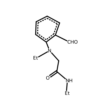 CCNC(=O)CN(CC)c1ccccc1C=O